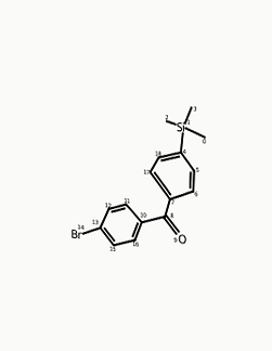 C[Si](C)(C)c1ccc(C(=O)c2ccc(Br)cc2)cc1